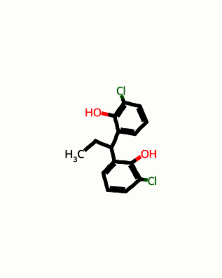 CCC(c1cccc(Cl)c1O)c1cccc(Cl)c1O